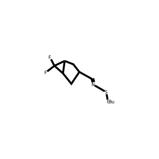 CC(C)(C)S/N=C/C1CC2C(C1)C2(F)F